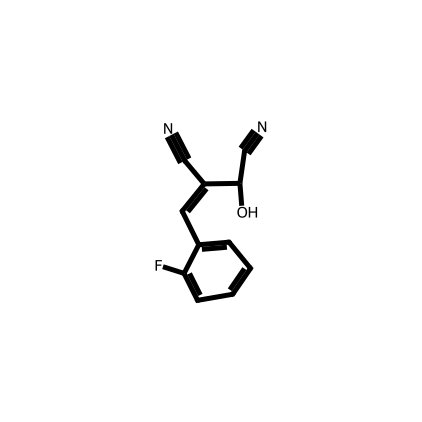 N#CC(=Cc1ccccc1F)C(O)C#N